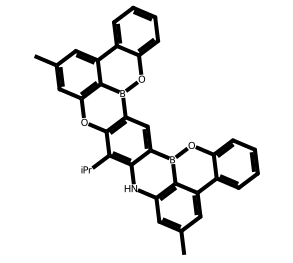 Cc1cc2c3c(c1)-c1ccccc1OB3c1cc3c(c(C(C)C)c1N2)Oc1cc(C)cc2c1B3Oc1ccccc1-2